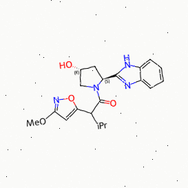 COc1cc(C(C(=O)N2C[C@H](O)C[C@H]2c2nc3ccccc3[nH]2)C(C)C)on1